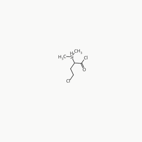 C[SiH](C)C(CCCl)C(=O)Cl